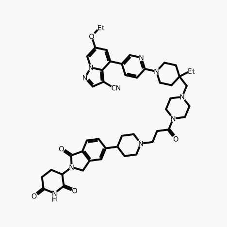 CCOc1cc(-c2ccc(N3CCC(CC)(CN4CCN(C(=O)CCN5CCC(c6ccc7c(c6)CN(C6CCC(=O)NC6=O)C7=O)CC5)CC4)CC3)nc2)c2c(C#N)cnn2c1